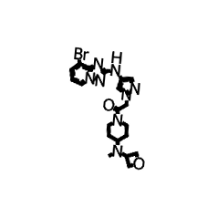 CN(C1CCN(C(=O)Cn2cc(Nc3nc4c(Br)cccn4n3)cn2)CC1)C1COC1